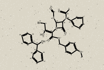 COc1ccc(COC(=O)C(=C(O)CBr)N2C(=O)C(N(C(C)=O)c3ccccc3)C2SC=O)cc1.OC(c1ccccc1)c1ccccc1